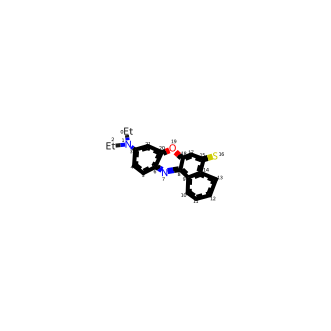 CCN(CC)c1ccc2nc3c4ccccc4c(=S)cc-3oc2c1